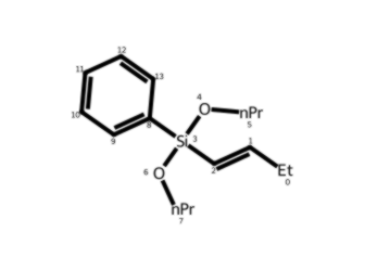 CCC=C[Si](OCCC)(OCCC)c1ccccc1